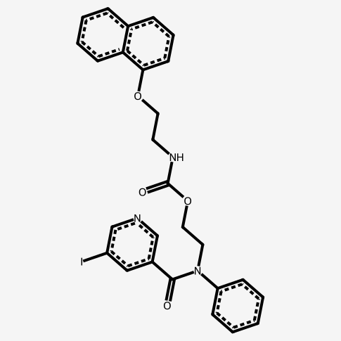 O=C(NCCOc1cccc2ccccc12)OCCN(C(=O)c1cncc(I)c1)c1ccccc1